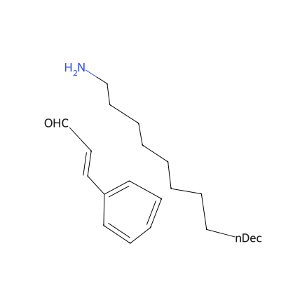 CCCCCCCCCCCCCCCCCCN.O=CC=Cc1ccccc1